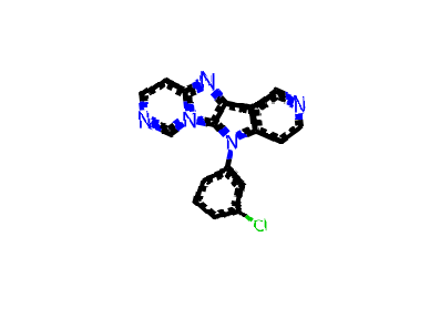 Clc1cccc(-n2c3ccncc3c3nc4ccncn4c32)c1